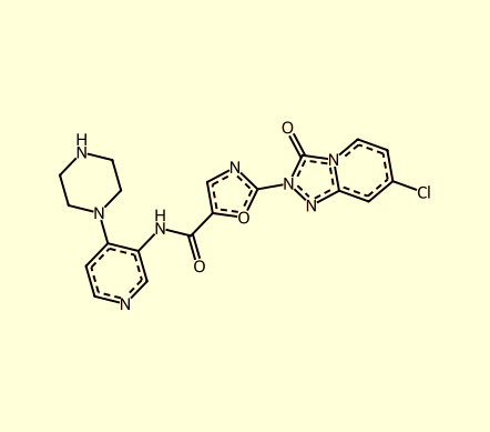 O=C(Nc1cnccc1N1CCNCC1)c1cnc(-n2nc3cc(Cl)ccn3c2=O)o1